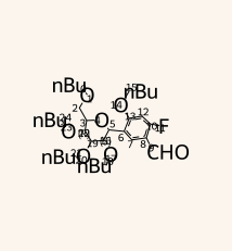 CCCCOCC1OC(c2cc(C=O)c(F)cc2OCCCC)[C@H](OCCCC)C(OCCCC)[C@@H]1OCCCC